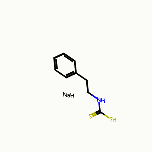 S=C(S)NCCc1ccccc1.[NaH]